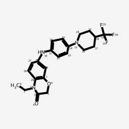 CCN1C(=O)COc2cc(Nc3ccc(N4CCC(C(F)(F)F)CC4)cc3)ccc21